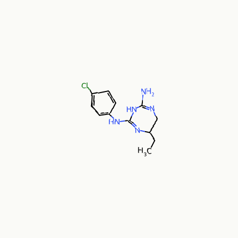 CCC1CN=C(N)NC(Nc2ccc(Cl)cc2)=N1